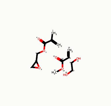 C=C(C)C(=O)OCC1CO1.C=CC(=O)OC.OCCO